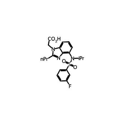 CCCc1nc2c(N(C(C)C)S(=O)(=O)c3cccc(F)c3)cccc2n1CC(=O)O